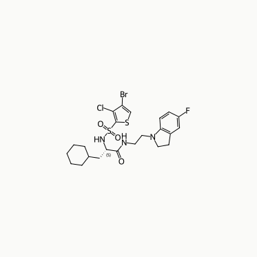 O=C(NCCN1CCc2cc(F)ccc21)[C@H](CC1CCCCC1)NS(=O)(=O)c1scc(Br)c1Cl